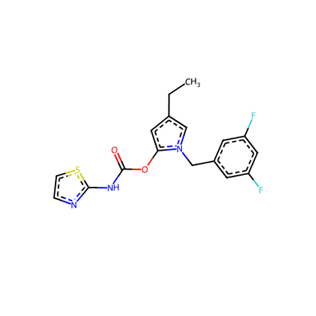 CCc1cc(OC(=O)Nc2nccs2)n(Cc2cc(F)cc(F)c2)c1